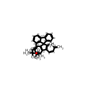 C=C(C)/C=C\C1=C(C)C2(c3cc(C)ccc31)c1ccccc1-c1cccc(B3OC(C)(C)C(C)(C)O3)c12